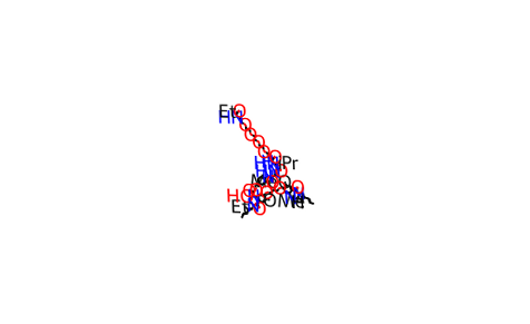 C/C=C/C1=CN2C(=O)c3cc(OC)c(OCCCOc4cc5c(cc4OC)C(=O)N(/C=C(/C=C/C)CC)C[C@H](O)N5C(=O)OCc4ccc(NC(=O)[C@H](C)NC(=O)[C@@H](NC(=O)CCOCCOCCOCCOCCNC(=O)CC)C(C)C)cc4)cc3N=C[C@@H]2C1